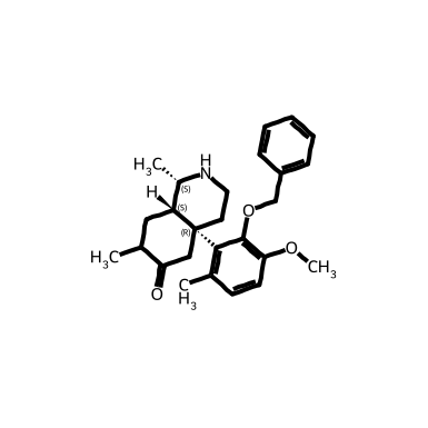 COc1ccc(C)c([C@@]23CCN[C@@H](C)[C@H]2CC(C)C(=O)C3)c1OCc1ccccc1